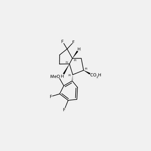 COc1c([C@@H]2[C@@H]3CCC(F)(F)[C@@H]3C[C@H]2C(=O)O)ccc(F)c1F